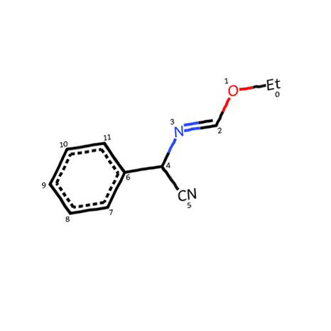 CCOC=NC(C#N)c1ccccc1